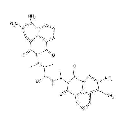 CCC(NC(C)N1C(=O)c2cccc3c(N)c([N+](=O)[O-])cc(c23)C1=O)N(C)C(C)N1C(=O)c2cccc3c(N)c([N+](=O)[O-])cc(c23)C1=O